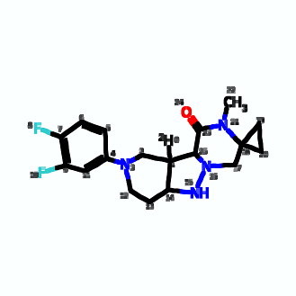 [2H]C12CN(c3ccc(F)c(F)c3)CCC1NN1CC3(CC3)N(C)C(=O)C12